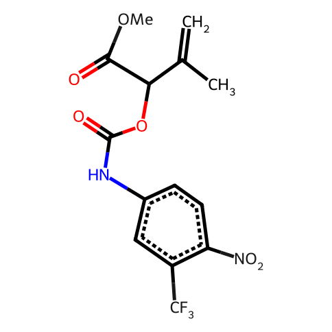 C=C(C)C(OC(=O)Nc1ccc([N+](=O)[O-])c(C(F)(F)F)c1)C(=O)OC